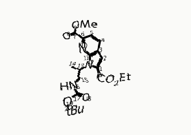 CCOC(=O)c1cc2ccc(C(=O)OC)nc2n1[C@H](C)CNC(=O)OC(C)(C)C